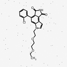 CCOCCOCCn1ccc2c3c(c(-c4ccccc4Cl)cc21)C(=O)NC3=O